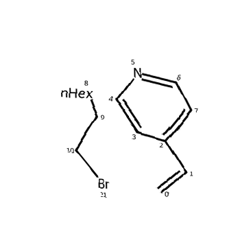 C=Cc1ccncc1.CCCCCCCCBr